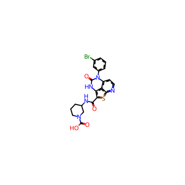 O=C(NC1CCCN(C(=O)O)C1)c1sc2nccc3c2c1NC(=O)N3c1cccc(Br)c1